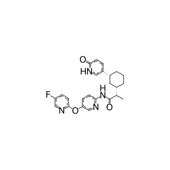 CC(C(=O)Nc1ccc(Oc2ccc(F)cn2)cn1)[C@H]1CCC[C@@H](c2ccc(=O)[nH]c2)C1